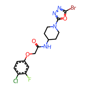 O=C(COc1ccc(Cl)c(F)c1)NC1CCN(c2nnc(Br)o2)CC1